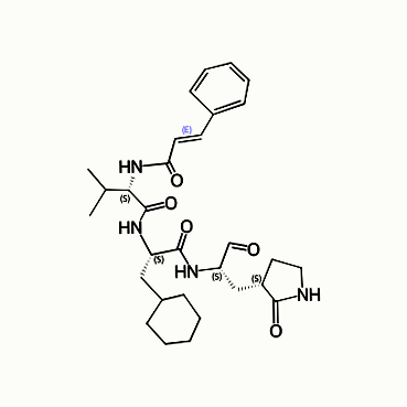 CC(C)[C@H](NC(=O)/C=C/c1ccccc1)C(=O)N[C@@H](CC1CCCCC1)C(=O)N[C@H](C=O)C[C@@H]1CCNC1=O